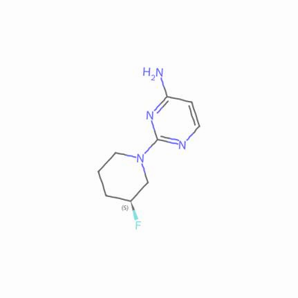 Nc1ccnc(N2CCC[C@H](F)C2)n1